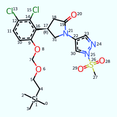 C[Si](C)(C)CCOCOc1ccc(Cl)c(Cl)c1[C@H]1CC(=O)N(c2cnn(S(C)(=O)=O)c2)C1